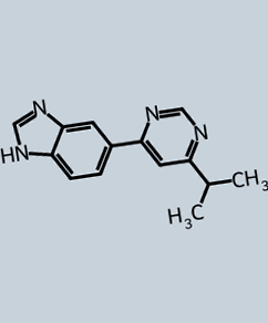 CC(C)c1cc(-c2ccc3[nH]cnc3c2)ncn1